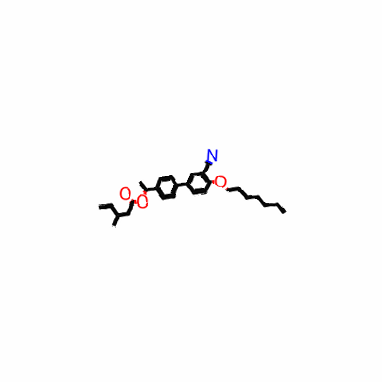 CCCCCCCOc1ccc(-c2ccc(C(C)OC(=O)CC(C)CC)cc2)cc1C#N